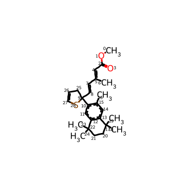 COC(=O)/C=C(C)/C=C/C1(c2cc3c(cc2C)C(C)(C)CCC3(C)C)CC=CS1